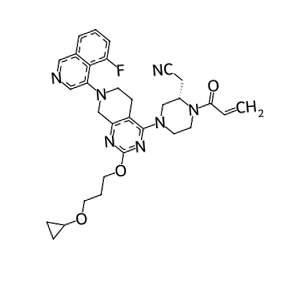 C=CC(=O)N1CCN(c2nc(OCCCOC3CC3)nc3c2CCN(c2cncc4cccc(F)c24)C3)C[C@@H]1CC#N